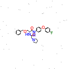 O=C(CN1CCCC1)N[C@@H](COCc1ccccc1)C(=O)Nc1ccc(Oc2ccc(F)cc2)cc1